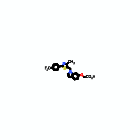 Cc1nc(-c2ccc(C(F)(F)F)cc2)sc1Cn1ccc2ccc(OCC(=O)O)cc21